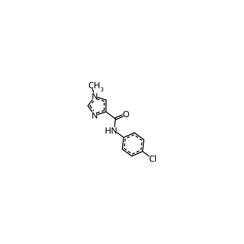 Cn1cnc(C(=O)Nc2ccc(Cl)cc2)c1